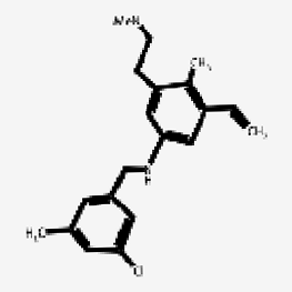 C=Cc1cc(NCc2cc(C)cc(Cl)c2)cc(CCNC)c1C